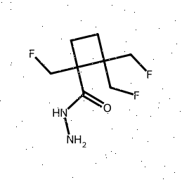 NNC(=O)C1(CF)CCC1(CF)CF